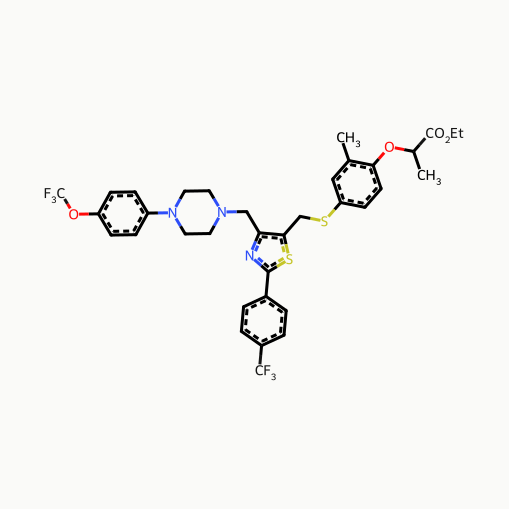 CCOC(=O)C(C)Oc1ccc(SCc2sc(-c3ccc(C(F)(F)F)cc3)nc2CN2CCN(c3ccc(OC(F)(F)F)cc3)CC2)cc1C